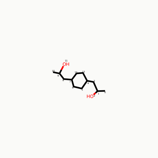 CC(O)CC1CCC(CC(C)O)CC1